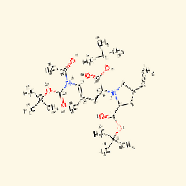 C=CC1CC(C(=O)OC(C)(C)C)N([C@@H](CC(C)=CN(C(C)=O)C(=O)OC(C)(C)C)C(=O)OC(C)(C)C)C1